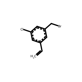 C=Cc1cc(Cl)cc(CBr)c1